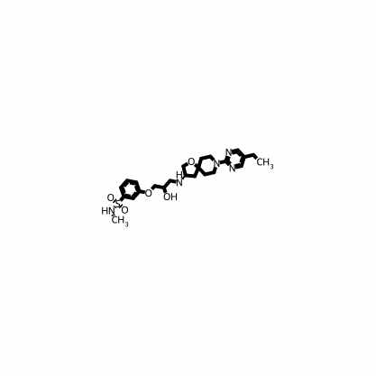 CCc1cnc(N2CCC3(CC2)C[C@@H](NCC(O)COc2cccc(S(=O)(=O)NC)c2)CO3)nc1